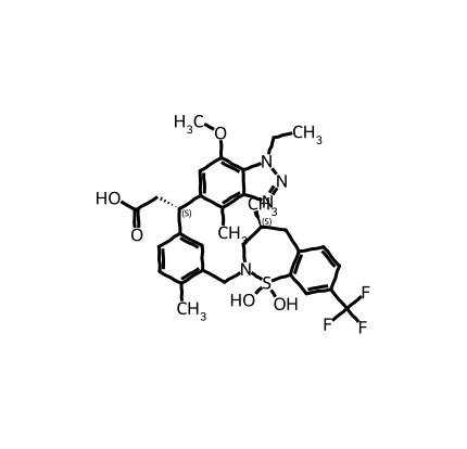 CCn1nnc2c(C)c([C@@H](CC(=O)O)c3ccc(C)c(CN4C[C@@H](C)Cc5ccc(C(F)(F)F)cc5S4(O)O)c3)cc(OC)c21